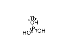 OP(O)O.[Tb]